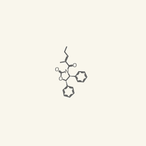 CC/C=C(\C)C(=O)N1C(=O)O[C@H](c2ccccc2)[C@@H]1c1ccccc1